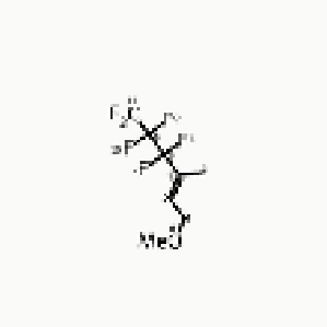 [CH2]OC/C=C(\C)C(F)(F)C(F)(F)C(F)(F)F